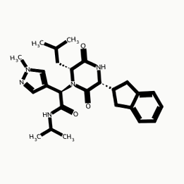 CC(C)C[C@@H]1C(=O)N[C@H](C2Cc3ccccc3C2)C(=O)N1[C@@H](C(=O)NC(C)C)c1cnn(C)c1